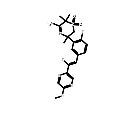 COc1cnc(C(F)=Cc2ccc(F)c(C3(C)CS(=O)(=O)C(C)(C)C(N)=N3)c2)cn1